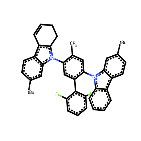 CC(C)(C)c1ccc2c3c(n(-c4cc(-c5c(F)cccc5F)c(-n5c6ccccc6c6ccc(C(C)(C)C)cc65)cc4C(F)(F)F)c2c1)CCC=C3